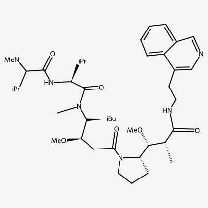 CC[C@H](C)C([C@@H](CC(=O)N1CCC[C@H]1[C@H](OC)[C@@H](C)C(=O)NCCc1cncc2ccccc12)OC)N(C)C(=O)[C@@H](NC(=O)C(NC)C(C)C)C(C)C